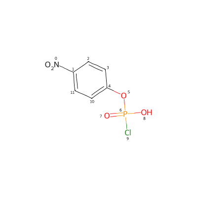 O=[N+]([O-])c1ccc(OP(=O)(O)Cl)cc1